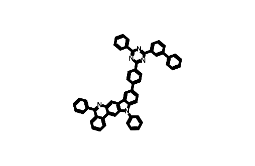 c1ccc(-c2cccc(-c3nc(-c4ccccc4)nc(-c4ccc(-c5ccc6c(c5)c5cc7nc(-c8ccccc8)c8ccccc8c7cc5n6-c5ccccc5)cc4)n3)c2)cc1